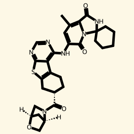 Cc1cc(Nc2ncnc3sc4c(c23)CC[C@H](C(=O)N2C[C@H]3C[C@@H]2CO3)C4)c(=O)n2c1C(=O)NC21CCCCC1